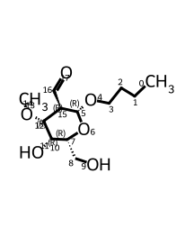 CCCCO[C@@H]1O[C@H](CO)[C@H](O)[C@H](OC)[C@H]1C=O